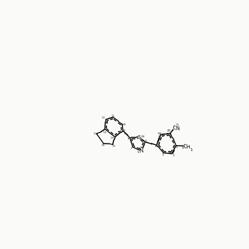 Cc1ccc(-c2ncc(-c3cccc4c3CCC4)s2)cc1C#N